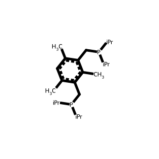 Cc1cc(C)c(CP(C(C)C)C(C)C)c(C)c1CP(C(C)C)C(C)C